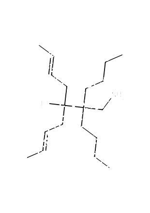 C/C=C/CC(O)(C/C=C/C)C(CN)(CCCC)CCCC